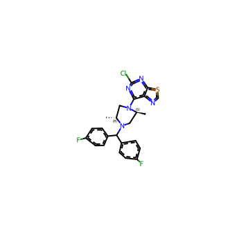 C[C@@H]1CN(c2nc(Cl)nc3scnc23)[C@@H](C)CN1C(c1ccc(F)cc1)c1ccc(F)cc1